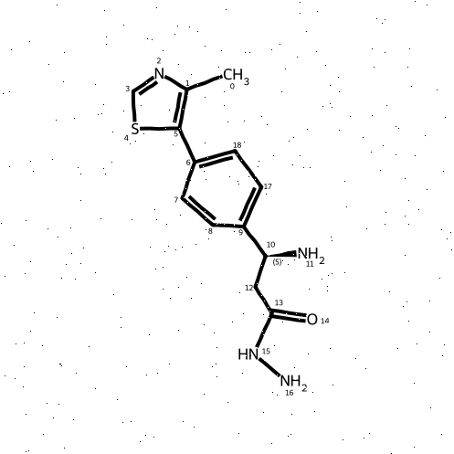 Cc1ncsc1-c1ccc([C@@H](N)CC(=O)NN)cc1